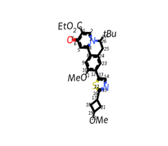 CCOC(=O)c1cn2c(cc1=O)-c1cc(OC)c(-c3cnc(C4CC(OC)C4)s3)cc1CC2C(C)(C)C